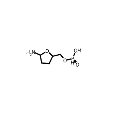 NC1CCC(CO[PH](=O)O)O1